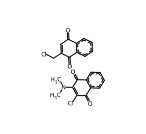 CN(C)C1=C(Cl)C(=O)c2ccccc2C1=O.O=C1C=C(CCl)C(=O)c2ccccc21